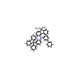 CC1(C)c2ccccc2-c2c(N(c3cccc(-c4ccccc4)c3)c3ccc4c(c3)C3(c5ccccc5-c5ccccc53)c3ccccc3-4)cccc21